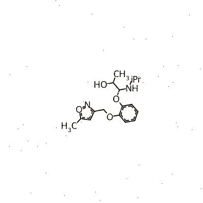 Cc1cc(COc2ccccc2OC(NC(C)C)C(C)O)no1